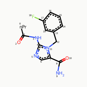 CCCC(=O)Nc1ncc(C(N)=O)n1Cc1cccc(F)c1